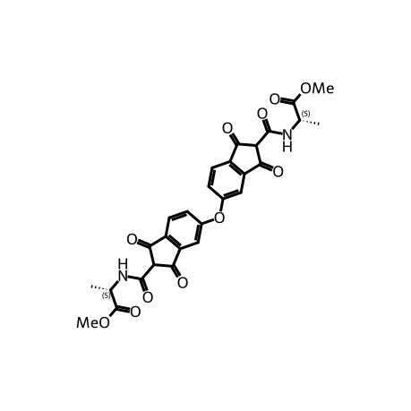 COC(=O)[C@H](C)NC(=O)C1C(=O)c2ccc(Oc3ccc4c(c3)C(=O)C(C(=O)N[C@@H](C)C(=O)OC)C4=O)cc2C1=O